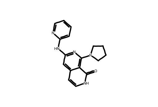 O=c1[nH]ccc2cc(Nc3ccccn3)nc(N3CCCC3)c12